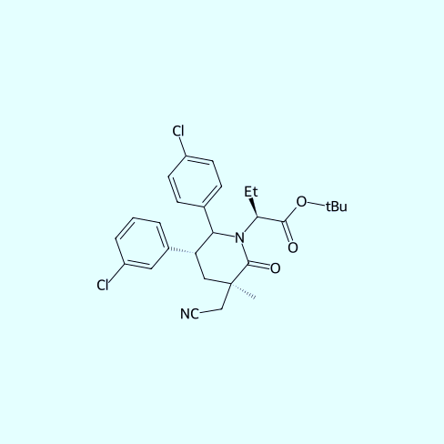 CC[C@@H](C(=O)OC(C)(C)C)N1C(=O)[C@@](C)(CC#N)C[C@H](c2cccc(Cl)c2)C1c1ccc(Cl)cc1